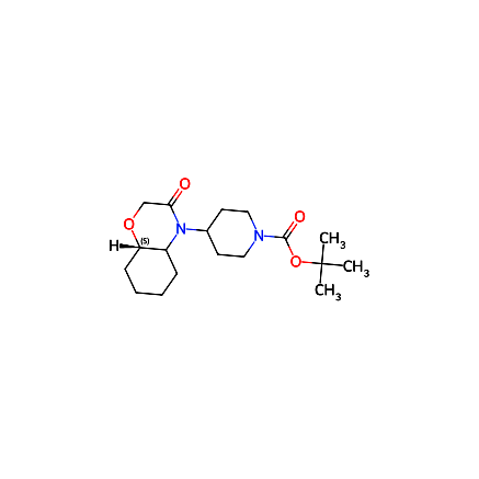 CC(C)(C)OC(=O)N1CCC(N2C(=O)CO[C@H]3CCCCC32)CC1